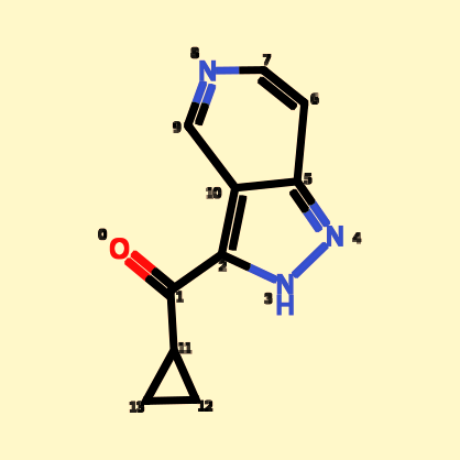 O=C(c1[nH]nc2ccncc12)C1CC1